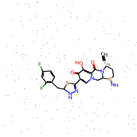 C#C[C@@H]1CCS(=N)C2Cn3cc(C4=NNC(Cc5ccc(F)cc5F)S4)c(=O)c(O)c3C(=O)N21